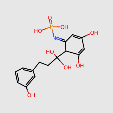 O=P(O)(O)/N=C1\C=C(O)C=C(O)C1C(O)(O)CCc1cccc(O)c1